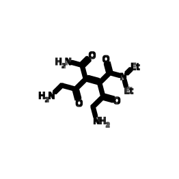 CCN(CC)C(=O)C(C(=O)CN)=C(C(N)=O)C(=O)CN